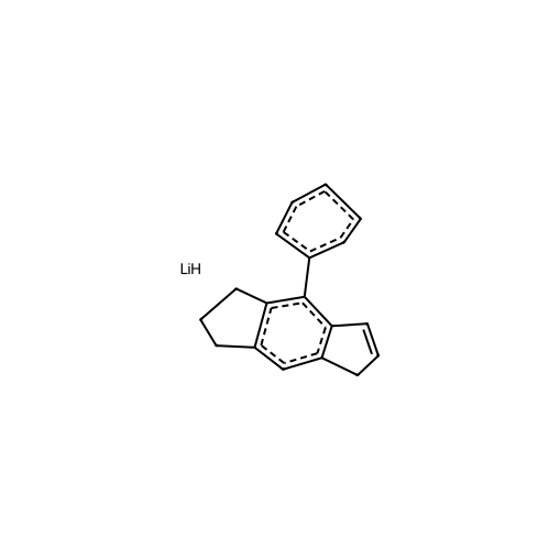 C1=Cc2c(cc3c(c2-c2ccccc2)CCC3)C1.[LiH]